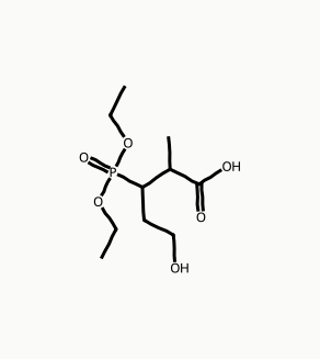 CCOP(=O)(OCC)C(CCO)C(C)C(=O)O